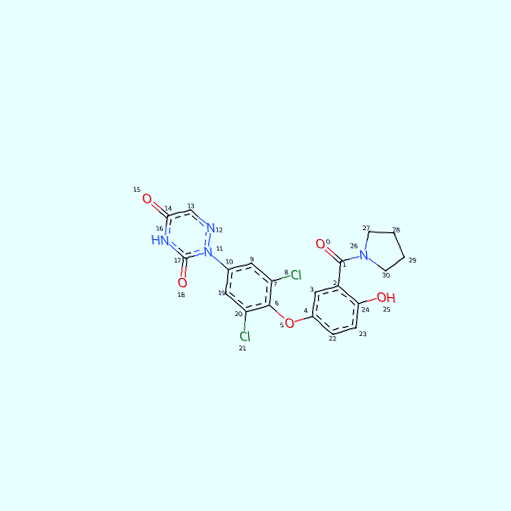 O=C(c1cc(Oc2c(Cl)cc(-n3ncc(=O)[nH]c3=O)cc2Cl)ccc1O)N1CCCC1